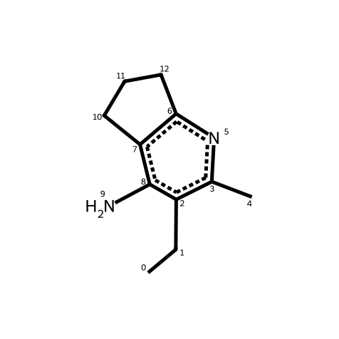 CCc1c(C)nc2c(c1N)CCC2